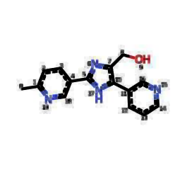 Cc1ccc(-c2nc(CO)c(-c3cccnc3)[nH]2)cn1